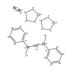 C1CCOC1.C1CCOC1.C[N]([Hf+2][N](C)c1ccccc1)c1ccccc1.[Br-].[Br-]